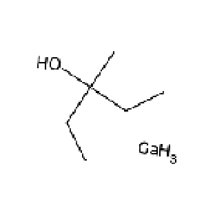 CCC(C)(O)CC.[GaH3]